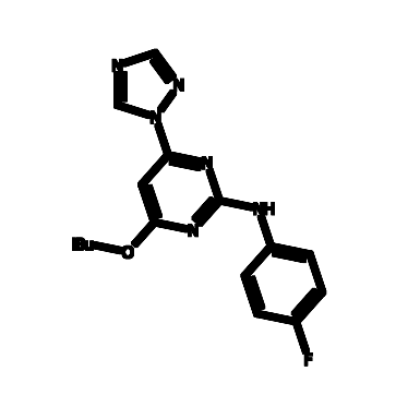 CCC(C)Oc1cc(-n2cncn2)nc(Nc2ccc(F)cc2)n1